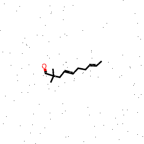 CC=CCCC=CCC(C)(C)C=O